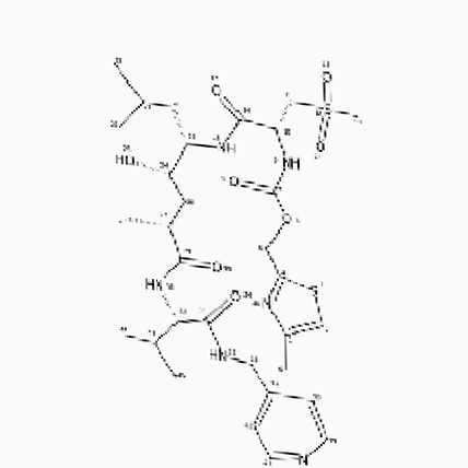 Cc1csc(COC(=O)N[C@@H](CS(C)(=O)=O)C(=O)N[C@@H](CC(C)C)[C@@H](O)C[C@@H](C)C(=O)N[C@H](C(=O)NCc2ccncc2)C(C)C)n1